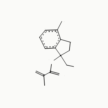 C=C(C)C(=O)OC1(CC)CCc2c(C)cccc21